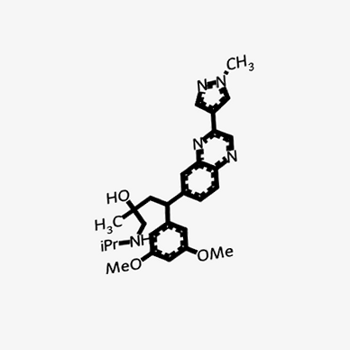 COc1cc(OC)cc(C(CC(C)(O)CNC(C)C)c2ccc3ncc(-c4cnn(C)c4)nc3c2)c1